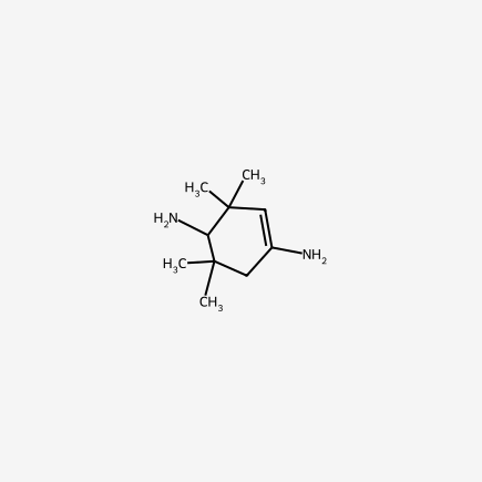 CC1(C)C=C(N)CC(C)(C)C1N